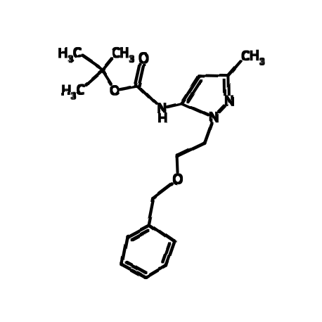 Cc1cc(NC(=O)OC(C)(C)C)n(CCOCc2ccccc2)n1